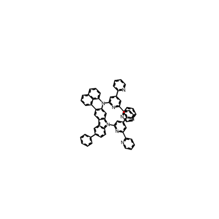 c1ccc(-c2ccc3c(c2)c2cc4c(cc2n3-c2cc(-c3ccccn3)cc(-c3ccccn3)n2)N(c2cc(-c3ccccn3)cc(-c3ccccn3)n2)c2cccc3cccc-4c23)cc1